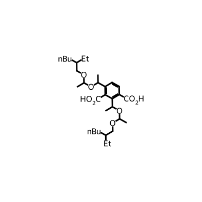 CCCCC(CC)COC(C)OC(C)c1ccc(C(=O)O)c(C(C)OC(C)OCC(CC)CCCC)c1C(=O)O